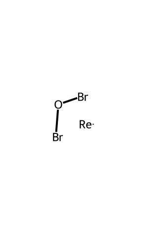 BrOBr.[Re]